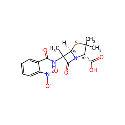 CC1(C)S[C@H]2N(C(=O)C2(C)NC(=O)c2ccccc2[N+](=O)[O-])[C@H]1C(=O)O